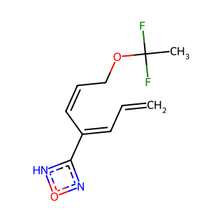 C=C/C=C(\C=C/COC(C)(F)F)c1no[nH]1